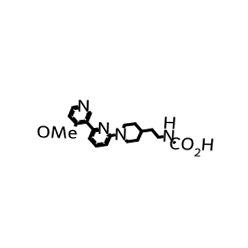 COc1ccncc1-c1cccc(N2CCC(CCNC(=O)O)CC2)n1